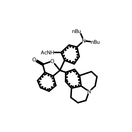 CCCCN(CCCC)c1ccc(C2(c3cc4c5c(c3)CCCN5CCC4)OC(=O)c3ccccc32)c(NC(C)=O)c1